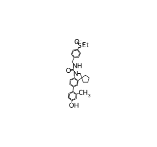 CC[S+]([O-])c1ccc(CNC(=O)N2CC3(CCCC3)c3cc(-c4ccc(O)cc4C)ccc32)cc1